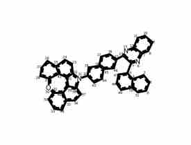 c1ccc2c(-c3nc4ccccc4nc3-c3ccc4cc(-n5c6ccc7cccc8oc9cccc%10ccc5c(c%109)c6c78)ccc4c3)cccc2c1